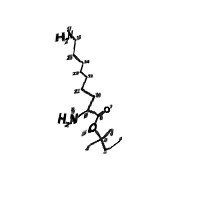 CCC(C)(C)OC(=O)C(N)CCCCCCCN